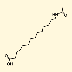 CC(=O)NCCCCCCCCCCCCCC(=O)O